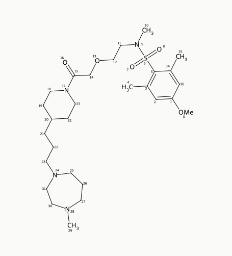 COc1cc(C)c(S(=O)(=O)N(C)CCOCC(=O)N2CCC(CCCN3CCCN(C)CC3)CC2)c(C)c1